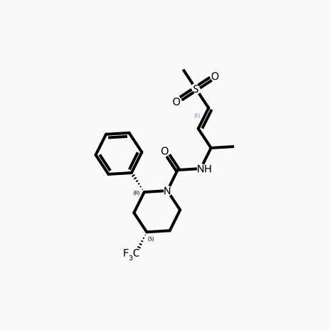 CC(/C=C/S(C)(=O)=O)NC(=O)N1CC[C@H](C(F)(F)F)C[C@@H]1c1ccccc1